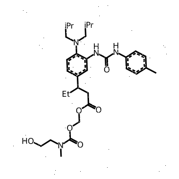 CCC(CC(=O)OCOC(=O)N(C)CCO)c1ccc(N(CC(C)C)CC(C)C)c(NC(=O)Nc2ccc(C)cc2)c1